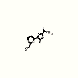 COCc1nccc(-c2sc(C(N)=O)nc2C)n1